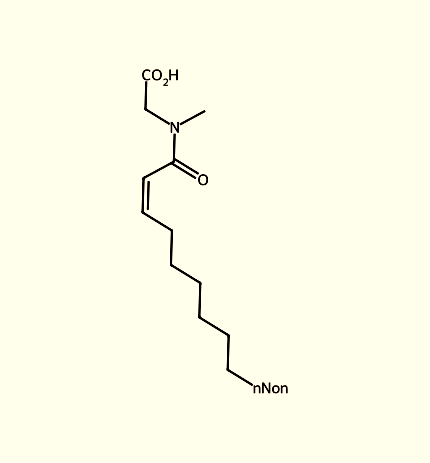 CCCCCCCCCCCCCCC/C=C\C(=O)N(C)CC(=O)O